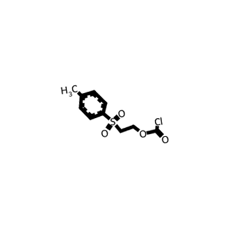 Cc1ccc(S(=O)(=O)CCOC(=O)Cl)cc1